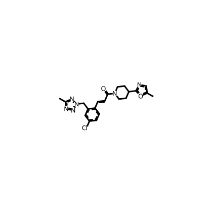 Cc1nnn(Cc2cc(Cl)ccc2C=CC(=O)N2CCC(c3ncc(C)o3)CC2)n1